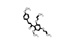 C=CCOc1cc(OC)c(C(=O)C=Cc2ccc(OC)cc2)c(OCC=C)c1